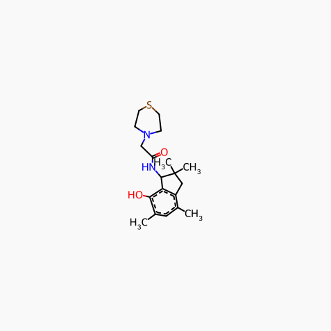 Cc1cc(C)c2c(c1O)C(NC(=O)CN1CCSCC1)C(C)(C)C2